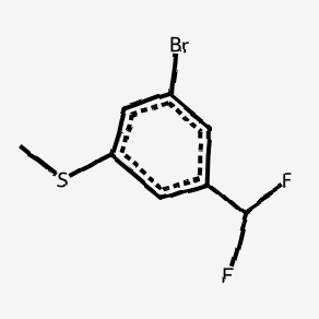 CSc1cc(Br)cc(C(F)F)c1